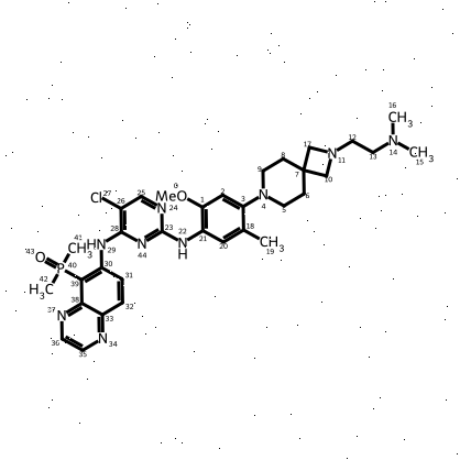 COc1cc(N2CCC3(CC2)CN(CCN(C)C)C3)c(C)cc1Nc1ncc(Cl)c(Nc2ccc3nccnc3c2P(C)(C)=O)n1